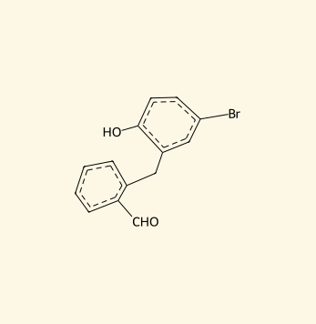 O=Cc1ccccc1Cc1cc(Br)ccc1O